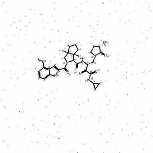 COc1cccc2[nH]c(C(=O)N3C[C@@H]4CCC[C@@H]4[C@H]3C(=O)N[C@@H](CN3CC[C@H](O)C3=O)C(=O)C(=O)NC3CC3)cc12